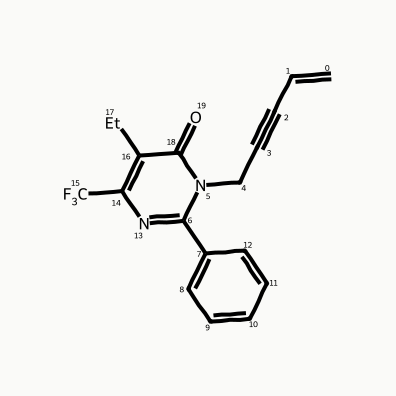 C=CC#CCn1c(-c2ccccc2)nc(C(F)(F)F)c(CC)c1=O